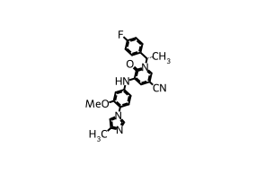 COc1cc(Nc2cc(C#N)cn([C@@H](C)c3ccc(F)cc3)c2=O)ccc1-n1cnc(C)c1